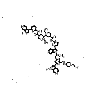 CC(C)CN1CCC(CNc2nc(CC(C)n3cc(-c4ccnc(NC(=O)C5CCN(CC(C)C)C(C6CC(C(=O)Nc7nccc(-c8c[nH]c9cnccc89)n7)CCN6CC(C)C)C5)n4)c4ccncc43)cc(-c3cn(C(C)C)c4cnccc34)n2)CC1